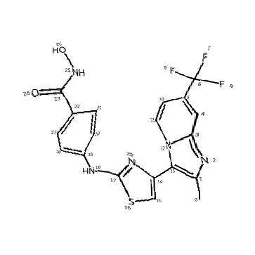 Cc1nc2cc(C(F)(F)F)ccn2c1-c1csc(Nc2ccc(C(=O)NO)cc2)n1